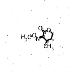 CON=C1C(=O)OCCC1C